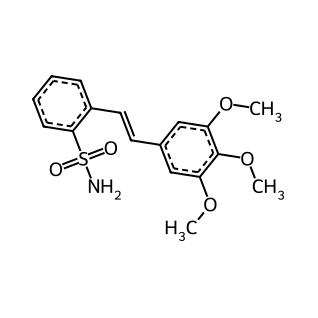 COc1cc(/C=C/c2ccccc2S(N)(=O)=O)cc(OC)c1OC